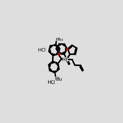 C=CC[CH2][Hf](=[CH2])([c]1ccccc1)([CH]1C=CC=C1)[CH]1c2cc(C(C)(C)C)ccc2-c2ccc(C(C)(C)C)cc21.Cl.Cl